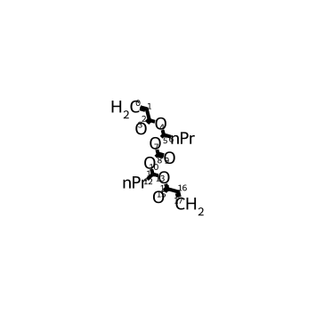 C=CC(=O)OC(CCC)OC(=O)OC(CCC)OC(=O)C=C